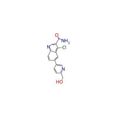 NC(=O)c1cnc2ccc(-c3ccc(CO)nc3)cc2c1Cl